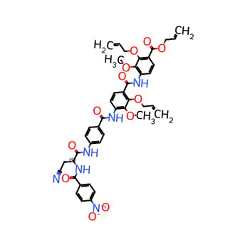 C=CCOC(=O)c1ccc(NC(=O)c2ccc(NC(=O)c3ccc(NC(=O)[C@H](CC#N)NC(=O)c4ccc([N+](=O)[O-])cc4)cc3)c(OC)c2OCC=C)c(OC)c1OCC=C